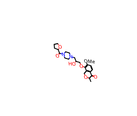 COc1ccc2c(c1OCC(O)CN1CCN(C(=O)C3CCCO3)CC1)COC(C)C2=O